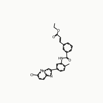 CCOC(=O)/C=C/c1cccc(C(=O)Nc2cc(-c3cn4nc(Cl)ccc4n3)ccc2C)c1